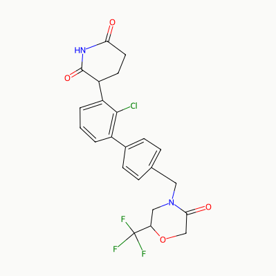 O=C1CCC(c2cccc(-c3ccc(CN4CC(C(F)(F)F)OCC4=O)cc3)c2Cl)C(=O)N1